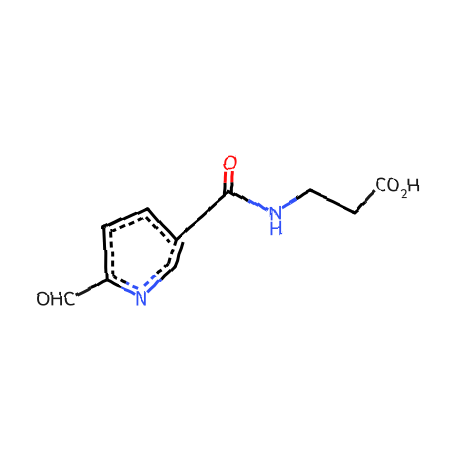 O=Cc1ccc(C(=O)NCCC(=O)O)cn1